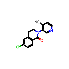 N#Cc1ccncc1N1CCc2cc(Cl)ccc2C1=O